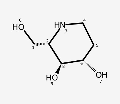 OC[C@@H]1NCC[C@H](O)[C@H]1O